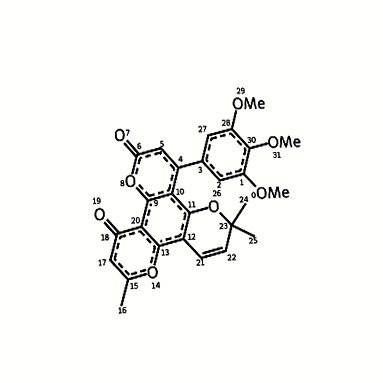 COc1cc(-c2[c]c(=O)oc3c2c2c(c4oc(C)cc(=O)c43)C=CC(C)(C)O2)cc(OC)c1OC